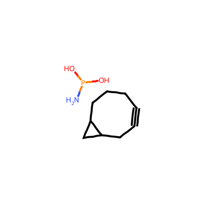 C1#CCC2CC2CCC1.NP(O)O